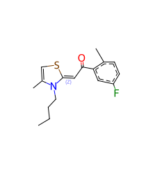 CCCCN1C(C)=CS/C1=C\C(=O)c1cc(F)ccc1C